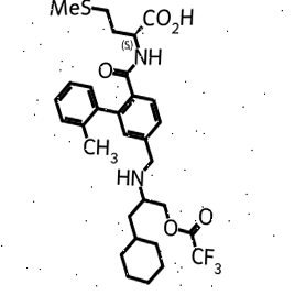 CSCC[C@H](NC(=O)c1ccc(CNC(COC(=O)C(F)(F)F)CC2CCCCC2)cc1-c1ccccc1C)C(=O)O